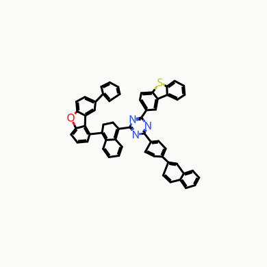 c1ccc(-c2ccc3oc4cccc(C5=c6ccccc6=C(c6nc(-c7ccc(-c8ccc9ccccc9c8)cc7)nc(-c7ccc8sc9ccccc9c8c7)n6)CC5)c4c3c2)cc1